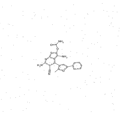 Cc1oc(-c2ccccc2)cc1-c1c(C#N)c(N)nc2sc(OC(N)=O)c(N)c12